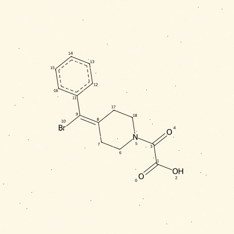 O=C(O)C(=O)N1CCC(=C(Br)c2ccccc2)CC1